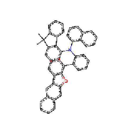 CC1(C)c2ccccc2-c2c(N(c3ccccc3-c3cccc4c3oc3cc5ccccc5cc34)c3cccc4ccccc34)cccc21